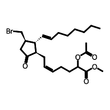 CCCCCC/C=C/[C@H]1[C@H](CBr)CC(=O)[C@@H]1C/C=C\CCC(OC(C)=O)C(=O)OC